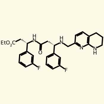 CCOC(=O)C[C@H](NC(=O)C[C@H](NCc1ccc2c(n1)NCCC2)c1cccc(F)c1)c1cccc(F)c1